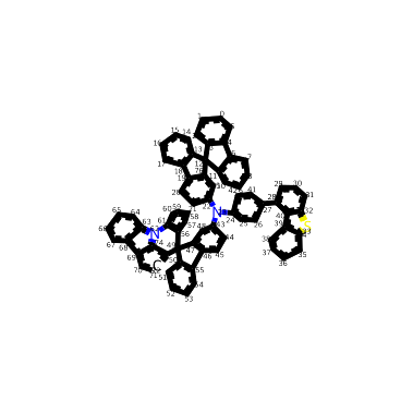 c1ccc2c(c1)-c1ccccc1C21c2ccccc2-c2ccc(N(c3ccc(-c4cccc5sc6ccccc6c45)cc3)c3ccc4c(c3)C3(c5ccccc5-4)c4ccccc4-n4c5ccccc5c5cccc3c54)cc21